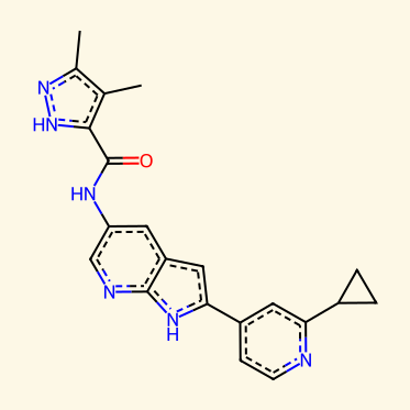 Cc1n[nH]c(C(=O)Nc2cnc3[nH]c(-c4ccnc(C5CC5)c4)cc3c2)c1C